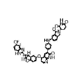 O=C1CCC(N2Cc3ccc(Bc4ccc(-c5cc6c(Oc7ccc8c(c7)[C@@H]7[C@H](O8)[C@H]7c7nc8cc(C(F)(F)F)ccc8[nH]7)ccnc6[nH]c5=O)cc4)cc3C2=O)C(=O)N1